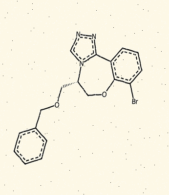 Brc1cccc2c1OC[C@H](COCc1ccccc1)n1cnnc1-2